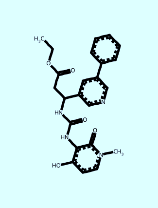 CCOC(=O)CC(NC(=O)Nc1c(O)ccn(C)c1=O)c1cncc(-c2ccccc2)c1